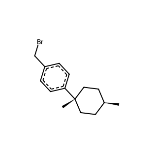 C[C@H]1CC[C@](C)(c2ccc(CBr)cc2)CC1